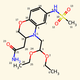 CCOC(CN1c2cc(NS(C)(=O)=O)ccc2OCC1CC(N)=O)OCC